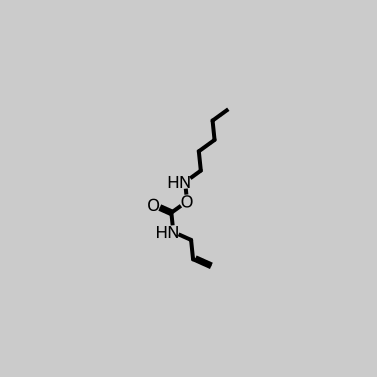 C=CCNC(=O)ONCCCCC